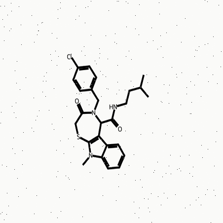 CC(C)CCNC(=O)C1c2c(n(C)c3ccccc23)SCC(=O)N1Cc1ccc(Cl)cc1